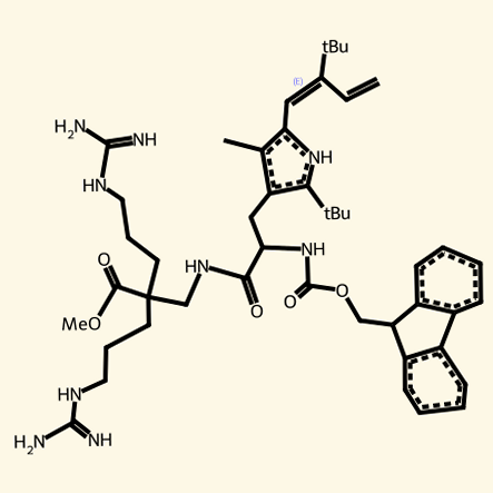 C=C/C(=C\c1[nH]c(C(C)(C)C)c(CC(NC(=O)OCC2c3ccccc3-c3ccccc32)C(=O)NCC(CCCNC(=N)N)(CCCNC(=N)N)C(=O)OC)c1C)C(C)(C)C